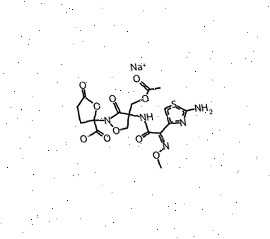 CO/N=C(\C(=O)NC1(COC(C)=O)CON(C2(C(=O)[O-])CCC(=O)O2)C1=O)c1csc(N)n1.[Na+]